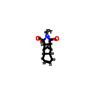 CC(C)N1C(=O)C2C3CC(C4CC=CCC43)C2C1=O